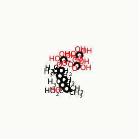 CC1(C)CC[C@]2(C(=O)O)[C@H](O)C[C@]3(C)C(=CC[C@@H]4[C@@]5(C)CC[C@H](O[C@@H]6O[C@H](CO[C@@H]7OC[C@H](O)[C@H](O)[C@H]7O[C@@H]7OC[C@@H](O)[C@H](O)[C@H]7O)[C@@H](O)[C@H](O)[C@H]6O)C(C)(C)[C@@H]5CC[C@]43C)[C@@H]2C1